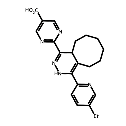 CCc1ccc(C2=C3CCCCCCC3C(c3ncc(C(=O)O)cn3)=NN2)nc1